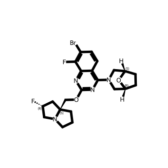 Fc1c(Br)ccc2c(N3C[C@H]4CC[C@@H](C3)O4)nc(OC[C@@]34CCCN3C[C@H](F)C4)nc12